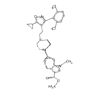 COC(=O)c1cn(C)c2cc(N3CCN(CCc4c(-c5c(Cl)cccc5Cl)noc4C4CC4)CC3)ccc12